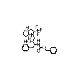 O=C(N[C@@H](Cc1ccccc1)[C@H](O)CN1[C@H](C(F)(F)F)C[C@@H]2CCC[C@@H]21)OCc1ccccc1